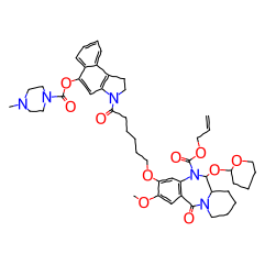 C=CCOC(=O)N1c2cc(OCCCCCC(=O)N3CCc4c3cc(OC(=O)N3CCN(C)CC3)c3ccccc43)c(OC)cc2C(=O)N2CCCCC2C1OC1CCCCO1